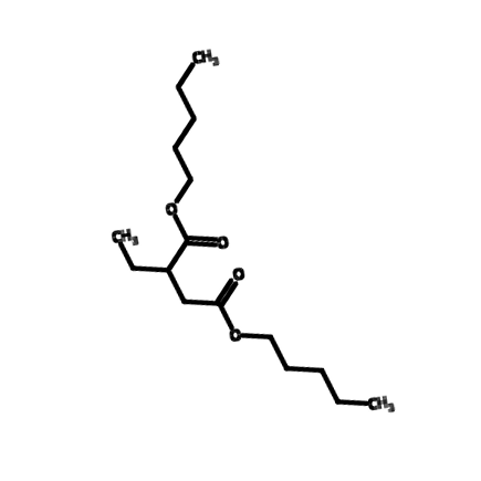 CCCCCOC(=O)CC(CC)C(=O)OCCCCC